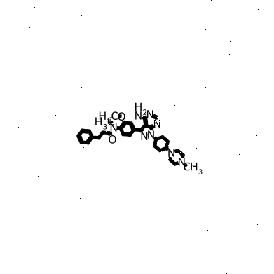 COc1cc(-c2nn(C3CCC(N4CCN(C)CC4)CC3)c3ncnc(N)c23)ccc1N(C)C(=O)CCc1ccccc1